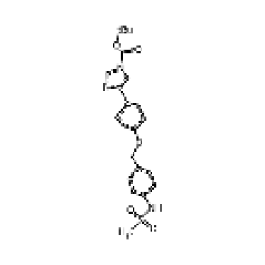 CC(C)(C)OC(=O)n1cnc(-c2ccc(OCc3ccc(NS(C)(=O)=O)cc3)cc2)c1